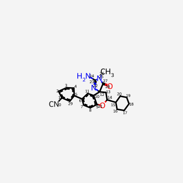 [C-]#[N+]c1cccc(-c2ccc3c(c2)C2(CC(C4CCCCC4)O3)N=C(N)N(C)C2=O)c1